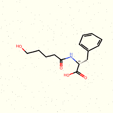 O=C(CCCCO)N[C@H](Cc1ccccc1)C(=O)O